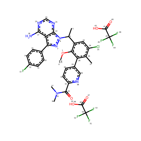 CCOc1c(C(C)n2nc(-c3ccc(F)cc3)c3c(N)ncnc32)cc(Cl)c(C)c1-c1ccc(C(=O)N(C)C)nc1.O=C(O)C(F)(F)F.O=C(O)C(F)(F)F